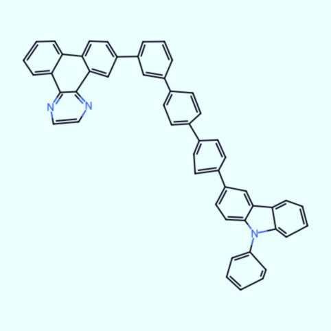 c1ccc(-n2c3ccccc3c3cc(-c4ccc(-c5ccc(-c6cccc(-c7ccc8c9ccccc9c9nccnc9c8c7)c6)cc5)cc4)ccc32)cc1